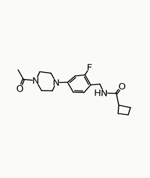 CC(=O)N1CCN(c2ccc(CNC(=O)C3CCC3)c(F)c2)CC1